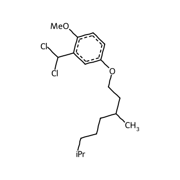 COc1ccc(OCCC(C)CCCC(C)C)cc1C(Cl)Cl